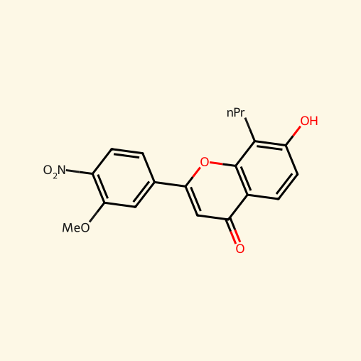 CCCc1c(O)ccc2c(=O)cc(-c3ccc([N+](=O)[O-])c(OC)c3)oc12